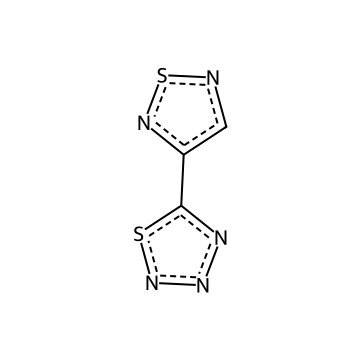 c1nsnc1-c1nnns1